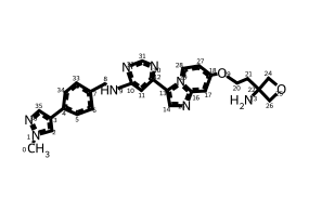 Cn1cc(-c2ccc(CNc3cc(-c4cnc5cc(OCCC6(N)COC6)ccn45)ncn3)cc2)cn1